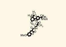 CCCCCCC(C)(C)c1cc(OC(=O)C(C)(C)CCNC(=O)c2cc3cc(OC)ccc3oc2=O)c2c(c1)OC(C)(C)[C@@H]1CCC(=O)C[C@@H]21